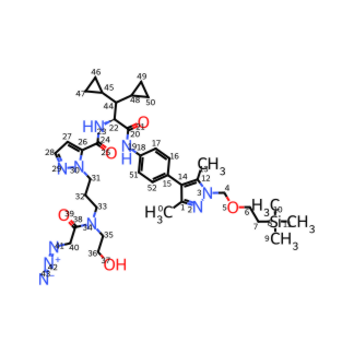 Cc1nn(COCC[Si](C)(C)C)c(C)c1-c1ccc(NC(=O)[C@@H](NC(=O)c2ccnn2CCCN(CCO)C(=O)CN=[N+]=[N-])C(C2CC2)C2CC2)cc1